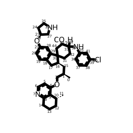 C[C@@H](COc1ccnc2c1[C@H](C)CCC2)C[C@H]1Cc2ccc(O[C@H]3CCNC3)cc2C12CCC(Nc1cccc(Cl)c1)(C(=O)O)CC2